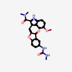 CNC(=O)Nc1ccc2c(c1)C(=O)C(=Cc1c(C(=O)N(C)C)[nH]c3ccc(OC)cc13)O2